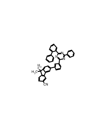 CC1(C)c2ccc(C#N)cc2-c2cc(-c3cccc(-c4nc(-c5ccccc5)nc(-c5ccccc5-c5ccccc5)n4)c3)ccc21